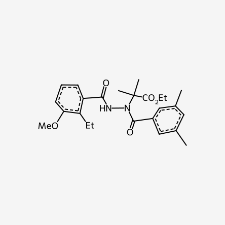 CCOC(=O)C(C)(C)N(NC(=O)c1cccc(OC)c1CC)C(=O)c1cc(C)cc(C)c1